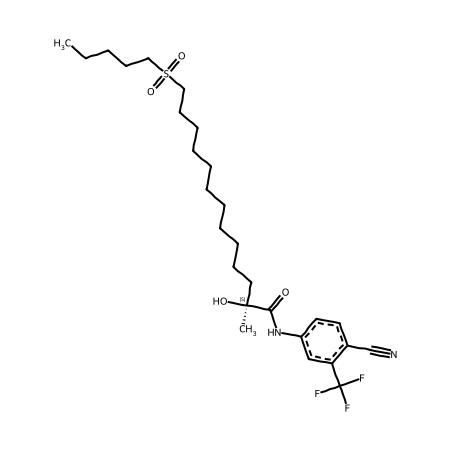 CCCCCS(=O)(=O)CCCCCCCCCCC[C@](C)(O)C(=O)Nc1ccc(C#N)c(C(F)(F)F)c1